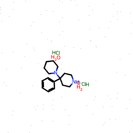 Cl.Cl.O.O.c1ccc(C2(N3CCCCC3)CCNCC2)cc1